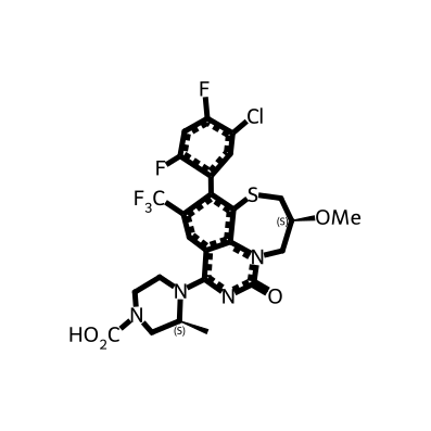 CO[C@@H]1CSc2c(-c3cc(Cl)c(F)cc3F)c(C(F)(F)F)cc3c(N4CCN(C(=O)O)C[C@@H]4C)nc(=O)n(c23)C1